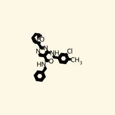 Cc1ccc(CNc2nc(N3CC4CCC3CO4)ncc2C(=O)NCc2ccccc2)cc1Cl